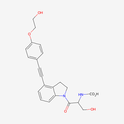 O=C(O)NC(CO)C(=O)N1CCc2c(C#Cc3ccc(OCCO)cc3)cccc21